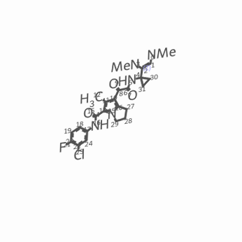 CN/C=C(\NC)C1(NC(=O)C(=O)c2c(C)c(C(=O)Nc3ccc(F)c(Cl)c3)n3c2CCC3)CC1